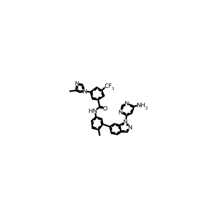 Cc1cn(-c2cc(C(=O)Nc3ccc(C)c(-c4ccc5cnn(-c6cc(N)ncn6)c5c4)c3)cc(C(F)(F)F)c2)cn1